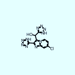 OC(c1nnn[nH]1)c1c(-c2nnn[nH]2)nc2cc(Cl)ccn12